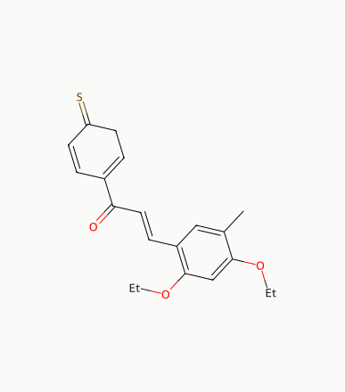 CCOc1cc(OCC)c(C=CC(=O)C2=CCC(=S)C=C2)cc1C